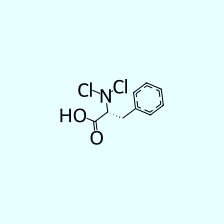 O=C(O)[C@@H](Cc1ccccc1)N(Cl)Cl